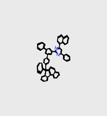 c1ccc(-c2cc(-c3ccc(C4(c5ccccc5)c5ccccc5-c5c4ccc4ccccc54)cc3)cc(-c3nc(-c4ccccc4)cc(-c4cccc5ccccc45)n3)c2)cc1